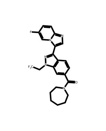 O=C(c1ccc2c(-c3cnc4ccc(F)cn34)nn(CC(F)(F)F)c2c1)N1CCCCCC1